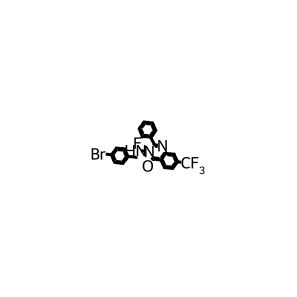 O=c1c2ccc(C(F)(F)F)cc2nc(-c2ccccc2F)n1NCc1ccc(Br)cc1